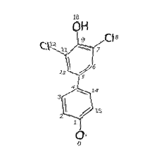 [O]c1ccc(-c2cc(Cl)c(O)c(Cl)c2)cc1